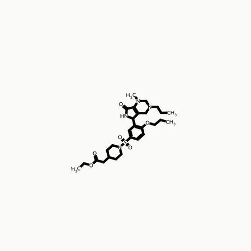 CCCOc1ccc(S(=O)(=O)N2CCC(CC(=O)OCC)CC2)cc1C1NC(=O)C2=C1CN(CCC)CN2C